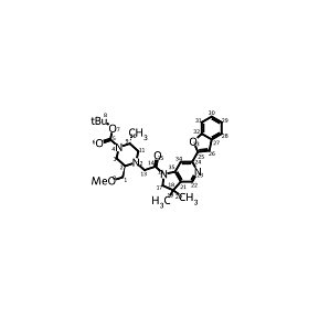 COC[C@H]1CN(C(=O)OC(C)(C)C)[C@H](C)CN1CC(=O)N1CC(C)(C)c2cnc(-c3cc4ccccc4o3)cc21